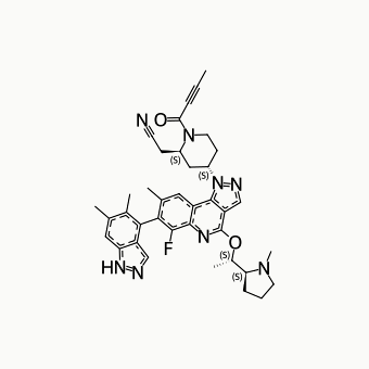 CC#CC(=O)N1CC[C@H](n2ncc3c(O[C@@H](C)[C@@H]4CCCN4C)nc4c(F)c(-c5c(C)c(C)cc6[nH]ncc56)c(C)cc4c32)C[C@H]1CC#N